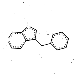 c1ccc(Cc2c[nH]c3cnccc23)cc1